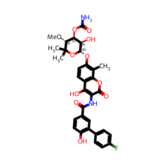 CO[C@@H]1[C@@H](OC(N)=O)[C@@H](O)[C@H](Oc2ccc3c(O)c(NC(=O)c4ccc(O)c(-c5ccc(F)cc5)c4)c(=O)oc3c2C)OC1(C)C